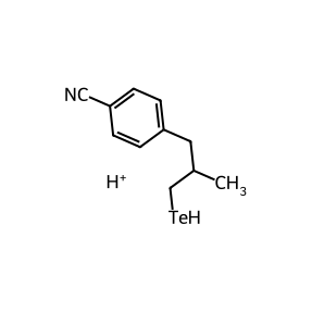 CC(C[TeH])Cc1ccc(C#N)cc1.[H+]